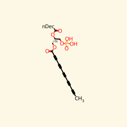 CC#CC#CC#CC#CC#CC(=O)OC[C@@H](COP(=O)(O)O)OC(=O)CCCCCCCCCC